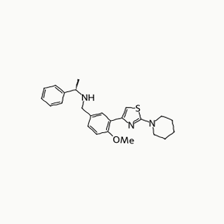 COc1ccc(CN[C@H](C)c2ccccc2)cc1-c1csc(N2CCCCC2)n1